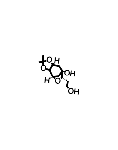 CC1(C)OC2[C@H]3C[C@@](O)(C[C@H]2O1)[C@H](CCO)O3